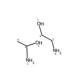 CC(N)O.NCCO